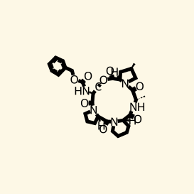 C[C@@H]1C[C@H]2C(=O)OC[C@H](NC(=O)OCc3ccccc3)C(=O)N3CCC[C@H]3C(=O)N3CCCC[C@H]3C(=O)N[C@@H](C)C(=O)N2C1